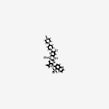 C=C(C)c1cnc(Nc2cc(CC)c(N3CCC(N4CCN(C)CC4)CC3)nc2OC)nc1Nc1ccc2nccnc2c1P(C)(C)=O